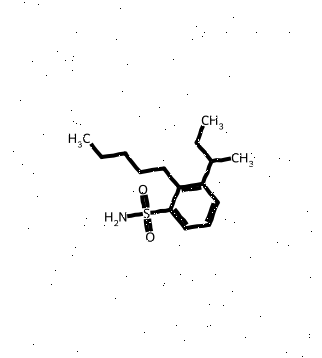 CCCCCc1c(C(C)CC)cccc1S(N)(=O)=O